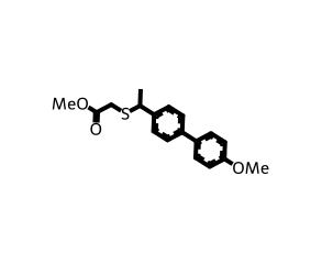 COC(=O)CSC(C)c1ccc(-c2ccc(OC)cc2)cc1